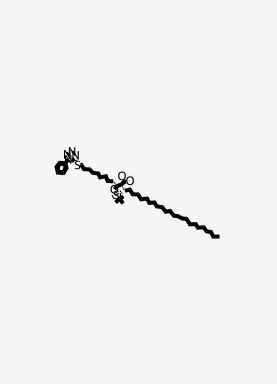 CCCCCCCCCCCCCCCCCCCCCCCC[C@@H](C(=O)OC)[C@@H](CCCCCCCCCSc1nnnn1-c1ccccc1)O[Si](C)(C)C(C)(C)C